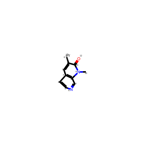 CC(C)c1cc2ccncc2n(C)c1=O